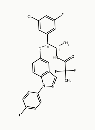 C[C@H](NC(=O)C(C)(F)F)[C@H](Oc1ccc2c(cnn2-c2ccc(F)cc2)c1)c1cc(F)cc(Cl)c1